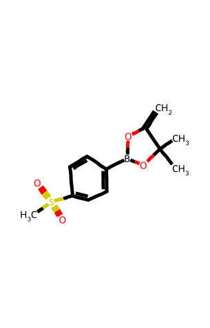 C=C1OB(c2ccc(S(C)(=O)=O)cc2)OC1(C)C